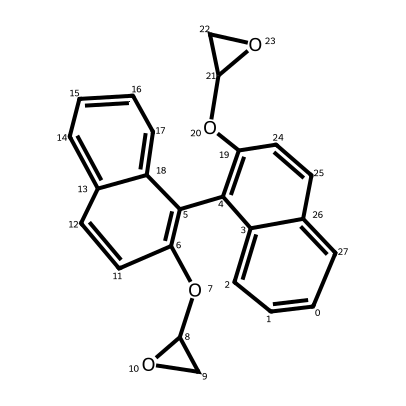 c1ccc2c(-c3c(OC4CO4)ccc4ccccc34)c(OC3CO3)ccc2c1